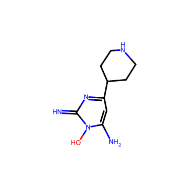 N=c1nc(C2CCNCC2)cc(N)n1O